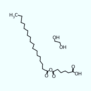 CCCCCCCCCCCCCCCCCC(=O)OC(=O)CCCCC(=O)O.OCCO